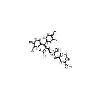 Cc1cc(C(=C(/C=C/[C@@H](O)CC(O)CC(=O)O)C(C)C)c2ccc(F)c(C)c2)ccc1F